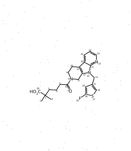 CC(C)(CCCC(=O)N1CCc2c(n(Cc3csc(F)c3)c3ncccc23)C1)C(=O)O